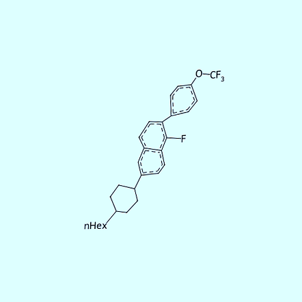 CCCCCCC1CCC(c2ccc3c(F)c(-c4ccc(OC(F)(F)F)cc4)ccc3c2)CC1